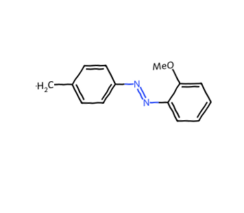 [CH2]c1ccc(N=Nc2ccccc2OC)cc1